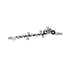 COc1ccc(S(=O)(=O)Nc2ncc(C(=O)NCCOCCOCC(=O)NCCOCCOCC(=O)O)cn2)cc1